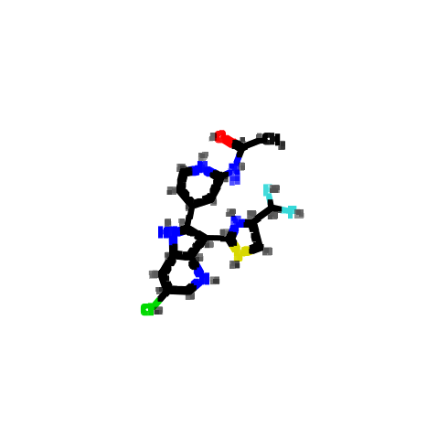 CC(=O)Nc1cc(-c2[nH]c3cc(Cl)cnc3c2-c2nc(C(F)F)cs2)ccn1